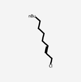 CCCCCCCC/C=C/CCl